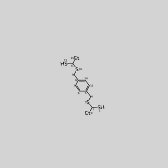 CCC(S)SCc1ccc(CSC(S)CC)cc1